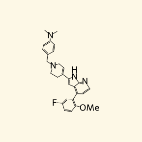 COc1ccc(F)cc1-c1ccnc2[nH]c(C3=CCN(Cc4ccc(N(C)C)cc4)CC3)cc12